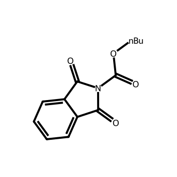 CCCCOC(=O)N1C(=O)c2ccccc2C1=O